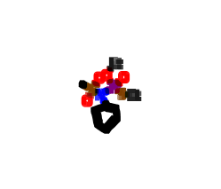 CCOP(=O)(SCC)N(c1ccccc1)S(C)(=O)=O